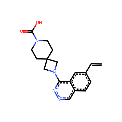 C=Cc1ccc2cnnc(N3CC4(CCN(C(=O)O)CC4)C3)c2c1